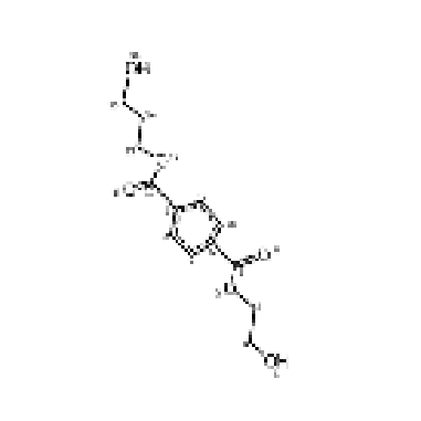 O=C(OCCO)c1ccc(C(=O)OCCCO)cc1